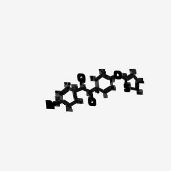 O=C(C(=O)c1ccc(Oc2cccs2)cc1)c1ccc(Br)cc1